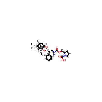 CC1(C)[C@@H]2C[C@H]3OB([C@@H](CNC(=O)OCC4CCCN4C(=O)O)c4ccccc4)O[C@@]3(C)[C@H]1C2